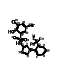 O=S(=O)(Nc1cn(-c2ccccc2C(F)(F)F)cn1)c1cc(Br)cc(Cl)c1O